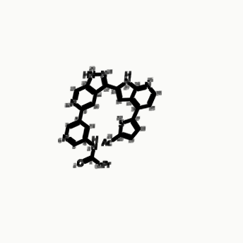 CCCC(=O)Nc1cncc(-c2cc3c(-c4cc5c(-c6ccc(C(C)=O)s6)ccnc5[nH]4)n[nH]c3cn2)c1